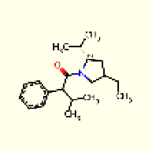 CCC1C[C@@H](C(C)C)N(C(=O)C(c2ccccc2)C(C)C)C1